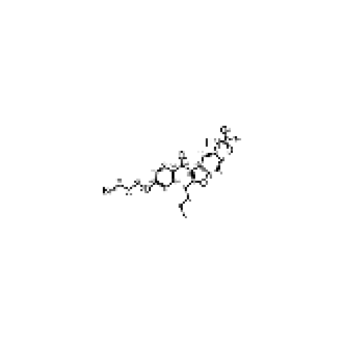 CCCCc1oc2ccc(NS(C)(=O)=O)cc2c1C(=O)c1ccc(OCCCBr)cc1